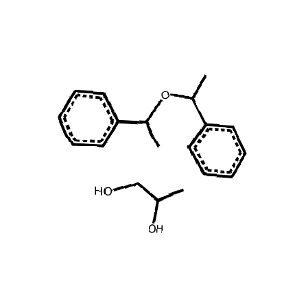 CC(O)CO.CC(OC(C)c1ccccc1)c1ccccc1